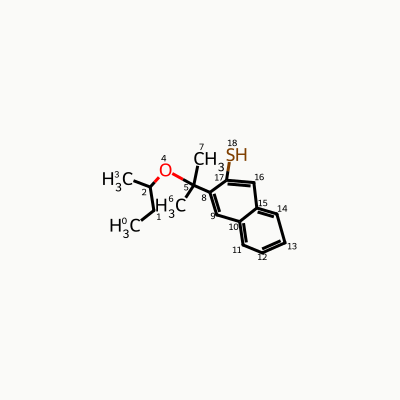 CCC(C)OC(C)(C)c1cc2ccccc2cc1S